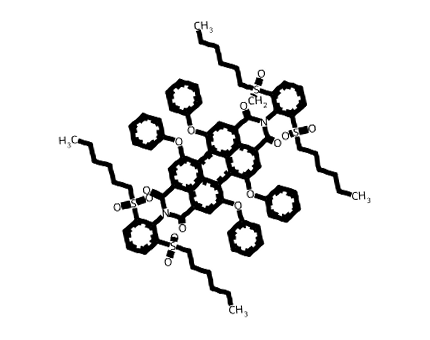 C=S(=O)(CCCCCC)c1cccc(S(=O)(=O)CCCCCC)c1N1C(=O)c2cc(Oc3ccccc3)c3c4c(Oc5ccccc5)cc5c6c(cc(Oc7ccccc7)c(c7c(Oc8ccccc8)cc(c2c37)C1=O)c64)C(=O)N(c1c(S(=O)(=O)CCCCCC)cccc1S(=O)(=O)CCCCCC)C5=O